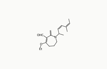 C=C1C(C=O)=C(OCC)CCCN1C(C)/C=C\C(C)=C/C